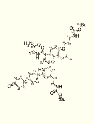 C/C=C/c1cc([C@@H](C(=O)N[C@@H](C)C(N)=O)N(C)C(=O)[C@H](CCCCNC(=O)OC(C)(C)C)NC(=O)c2ccc(-c3ccc(Cl)cc3)cc2)ccc1OCCCNC(=O)OC(C)(C)C